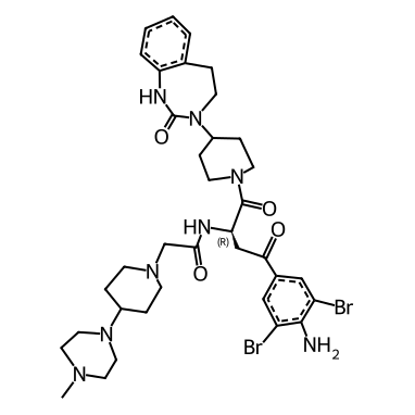 CN1CCN(C2CCN(CC(=O)N[C@H](CC(=O)c3cc(Br)c(N)c(Br)c3)C(=O)N3CCC(N4CCc5ccccc5NC4=O)CC3)CC2)CC1